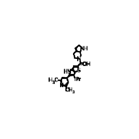 Cc1cc(-c2[nH]c3cc([C@@H](O)N4CCC5CCNC5C4)sc3c2C(C)C)cc(C)n1